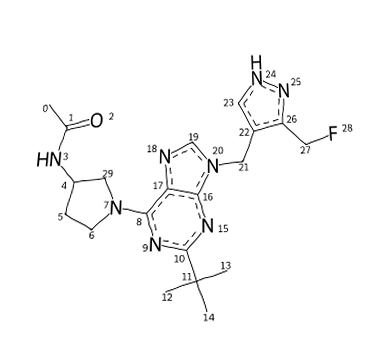 CC(=O)NC1CCN(c2nc(C(C)(C)C)nc3c2ncn3Cc2c[nH]nc2CF)C1